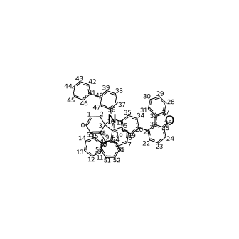 C1=CCC(c2ccccc2-c2ccccc2)(N(c2ccc(-c3cccc4oc5ccccc5c34)cc2)c2cccc(-c3ccccc3)c2)C(c2ccccc2)=C1